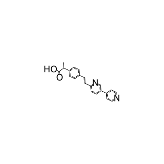 CC(C(=O)O)c1ccc(/C=C/c2ccc(-c3ccncc3)cn2)cc1